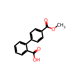 COC(=O)c1ccc(-c2ccccc2C(=O)O)cc1